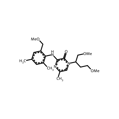 COCCC(COC)n1cc(C)nc(Nc2c(C)cc(C)cc2COC)c1=O